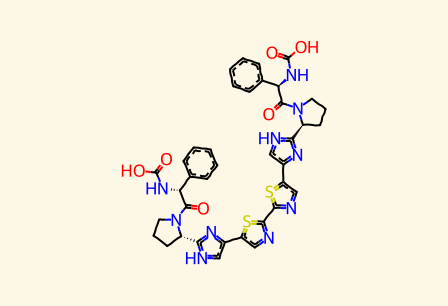 O=C(O)N[C@@H](C(=O)N1CCC[C@H]1c1nc(-c2cnc(-c3ncc(-c4c[nH]c([C@@H]5CCCN5C(=O)[C@H](NC(=O)O)c5ccccc5)n4)s3)s2)c[nH]1)c1ccccc1